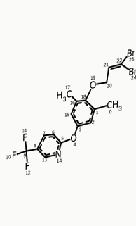 Cc1cc(Oc2ccc(C(F)(F)F)cn2)cc(C)c1OCC=C(Br)Br